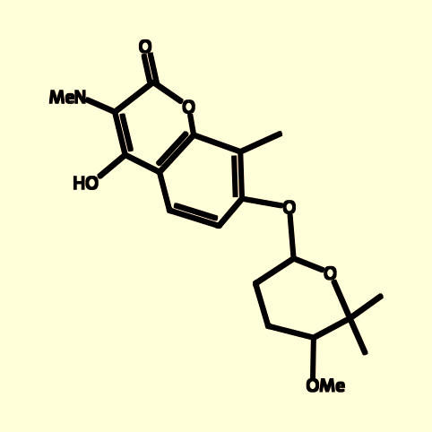 CNc1c(O)c2ccc(OC3CCC(OC)C(C)(C)O3)c(C)c2oc1=O